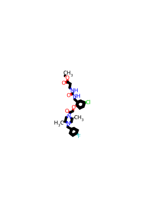 CCOC(=O)CCNC(=O)NCc1cc(Cl)ccc1OCC(=O)N1C[C@H](C)N(Cc2ccc(F)cc2)C[C@H]1C